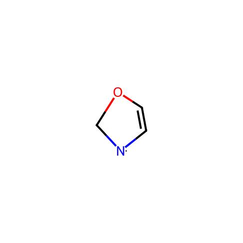 C1=COC[N]1